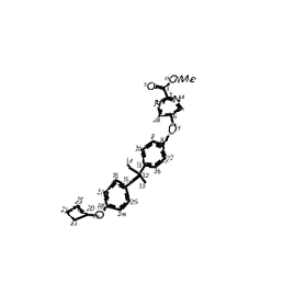 COC(=O)c1ncc(Oc2ccc(C(C)(C)c3ccc(OC4CCC4)cc3)cc2)cn1